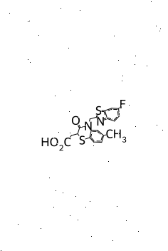 Cc1ccc2c(c1)N(Cc1nc3ccc(F)cc3s1)C(=O)C(CC(=O)O)S2